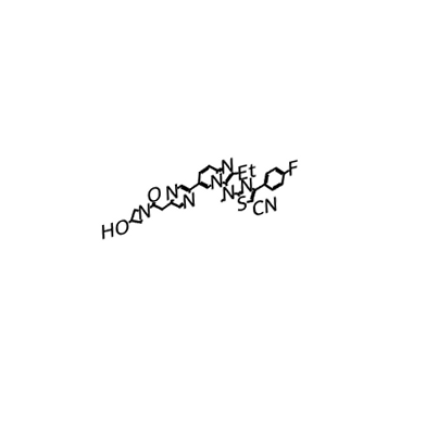 CCc1nc2ccc(-c3cnc(CC(=O)N4CC(O)C4)cn3)cn2c1N(C)c1nc(-c2ccc(F)cc2)c(C#N)s1